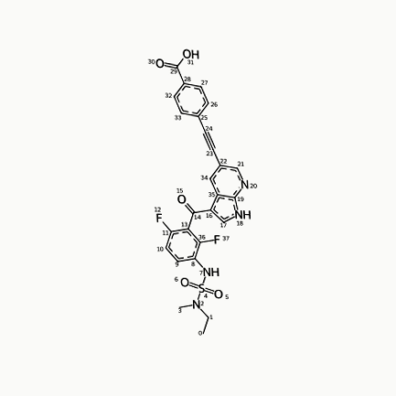 CCN(C)S(=O)(=O)Nc1ccc(F)c(C(=O)c2c[nH]c3ncc(C#Cc4ccc(C(=O)O)cc4)cc23)c1F